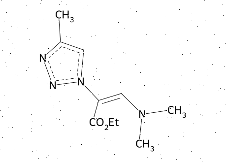 CCOC(=O)C(=CN(C)C)n1cc(C)nn1